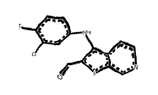 O=Cc1sc2cnccc2c1Nc1ccc(F)c(Cl)c1